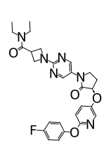 CCN(CC)C(=O)C1CN(c2ncc(N3CC[C@@H](Oc4ccc(Oc5ccc(F)cc5)nc4)C3=O)cn2)C1